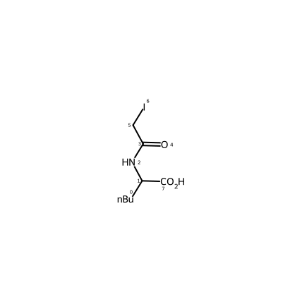 CCCCC(NC(=O)CI)C(=O)O